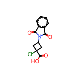 O=C1c2ccccc2C(=O)N1C1CC(Cl)(C(=O)O)C1